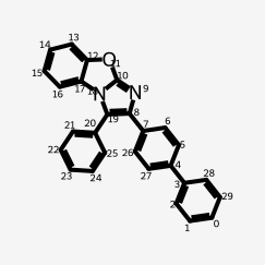 c1ccc(-c2ccc(-c3nc4oc5ccccc5n4c3-c3ccccc3)cc2)cc1